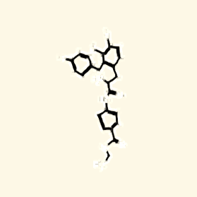 CCOC(=O)c1ccc(NC(=O)C(N)Cc2ccc(Cl)c(Cl)c2Cc2ccc(F)cc2)cc1